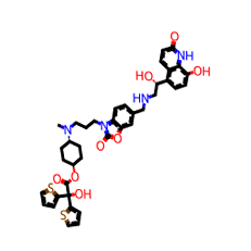 CN(CCCn1c(=O)oc2cc(CNC[C@H](O)c3ccc(O)c4[nH]c(=O)ccc34)ccc21)[C@H]1CC[C@H](OC(=O)C(O)(c2cccs2)c2cccs2)CC1